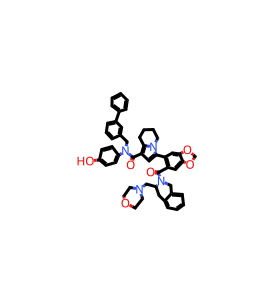 O=C(c1cc(-c2cc3c(cc2C(=O)N2Cc4ccccc4CC2CN2CCOCC2)OCO3)n2c1CCCC2)N(Cc1cccc(-c2ccccc2)c1)c1ccc(O)cc1